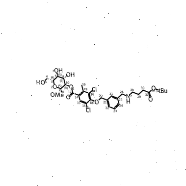 CO[C@H]1O[C@H](CO)[C@@H](O)[C@H](O)[C@H]1OC(=O)c1cc(Cl)c(OCc2cccc(CNCCCC(=O)OC(C)(C)C)c2)c(Cl)c1C